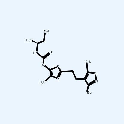 CCCCc1noc(C)c1CCc1nc(C)c(OC(=O)N[C@@H](C)CO)s1